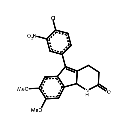 COc1cc2c(cc1OC)C1NC(=O)CCC1=C2c1ccc(Cl)c([N+](=O)[O-])c1